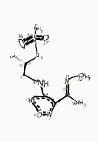 C[C@@H](CNc1nonc1/C(N)=N/O)OS(N)(=O)=O